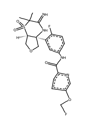 CC1(C)C(=N)N[C@@]2(c3cc(NC(=O)c4ccc(OCF)cn4)ccc3F)COC[C@H]2S1(=O)=O